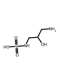 NCC(O)CNS(=O)(=O)O